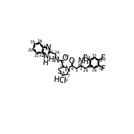 Cl.N[C@@H](CC(=O)N1CCSC1C(=O)NCc1nc2ccccc2[nH]1)Cc1cc(F)c(F)cc1F